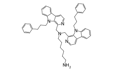 NCCCCCCN(Cc1nccc2c3ccccc3n(CCCc3ccccc3)c12)Cc1nccc2c3ccccc3n(CCCc3ccccc3)c12